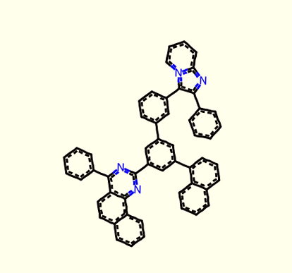 c1ccc(-c2nc3ccccn3c2-c2cccc(-c3cc(-c4nc(-c5ccccc5)c5ccc6ccccc6c5n4)cc(-c4cccc5ccccc45)c3)c2)cc1